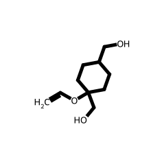 C=COC1(CO)CCC(CO)CC1